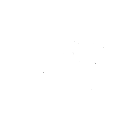 CN(c1ccccc1)C1CCC(CN)(n2cc(C(N)=O)c(Nc3ccnc(F)c3)n2)CC1